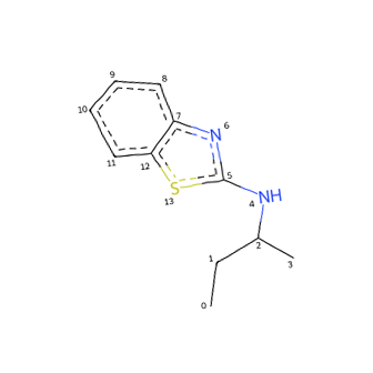 CCC(C)Nc1nc2ccccc2s1